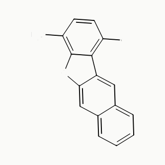 Bc1ccc(Cl)c2c1oc1cc3ccccc3cc12